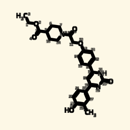 CCOC(=O)C1CCN(C(=O)COc2ccc(-c3cc(-c4ccc(O)c(C)c4)nc(=O)[nH]3)cc2)CC1